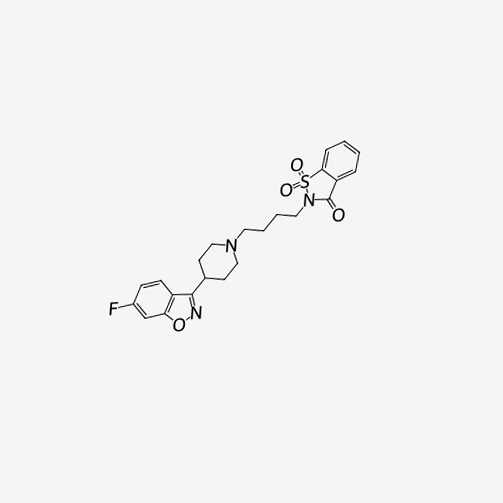 O=C1c2ccccc2S(=O)(=O)N1CCCCN1CCC(c2noc3cc(F)ccc23)CC1